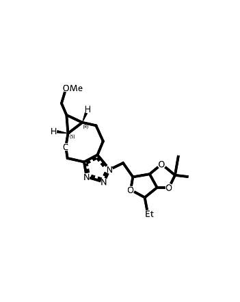 CCC1OC(Cn2nnc3c2CC[C@H]2C(COC)[C@H]2CC3)C2OC(C)(C)OC12